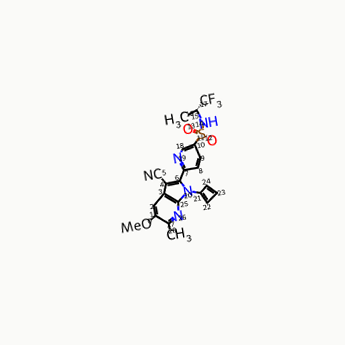 COc1cc2c(C#N)c(-c3ccc(S(=O)(=O)N[C@H](C)C(F)(F)F)cn3)n(C3=CC=C3)c2nc1C